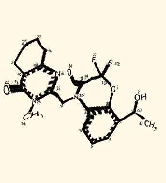 C[C@H](O)c1cccc2c1OC(F)(F)C(=O)N2Cc1nc2c(c(=O)n1C)CCCC2